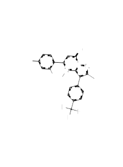 Cc1nn2c(=O)cc(-c3ccc(F)cc3F)n(C)c2c1-c1ccc(C(F)(F)F)cc1